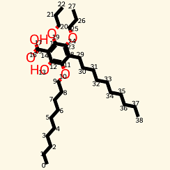 CCCCCCCCCCOc1c(O)c(C(=O)O)c(OCCC)c(OCCC)c1CCCCCCCCCC